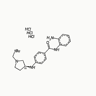 CC(C)(C)CN1CC[C@H](Nc2ccc(C(=O)Nc3ccccc3N)cc2)C1.Cl.Cl.Cl